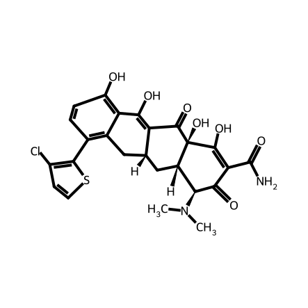 CN(C)[C@@H]1C(=O)C(C(N)=O)=C(O)[C@@]2(O)C(=O)C3=C(O)c4c(O)ccc(-c5sccc5Cl)c4C[C@H]3C[C@@H]12